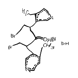 Br.Br.Cc1ccncc1C(CBr)C(=O)C(CBr)c1cnccc1C